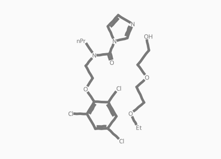 CCCN(CCOc1c(Cl)cc(Cl)cc1Cl)C(=O)n1ccnc1.CCOCCOCCO